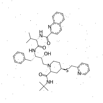 CC(C)[C@H](NC(=O)c1ccc2ccccc2n1)C(=O)N[C@@H](Cc1ccccc1)[C@H](O)CN1CC[C@@H](SCc2ccccn2)CC1C(=O)NC(C)(C)C